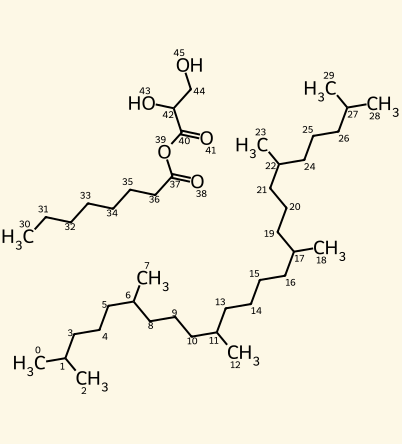 CC(C)CCCC(C)CCCC(C)CCCCC(C)CCCC(C)CCCC(C)C.CCCCCCCC(=O)OC(=O)C(O)CO